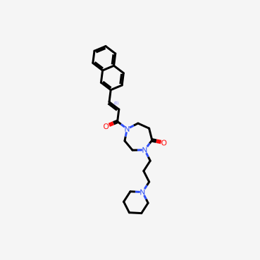 O=C(/C=C/c1ccc2ccccc2c1)N1CCC(=O)N(CCCN2CCCCC2)CC1